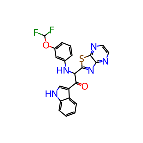 O=C(c1c[nH]c2ccccc12)C(Nc1cccc(OC(F)F)c1)c1nc2nccnc2s1